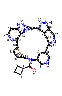 O=C(C1CCC1)n1c2cncc(c2)c2cc3c(cn2)[nH]nc3c2nc3c(ccnc3c3ccc1s3)[nH]2